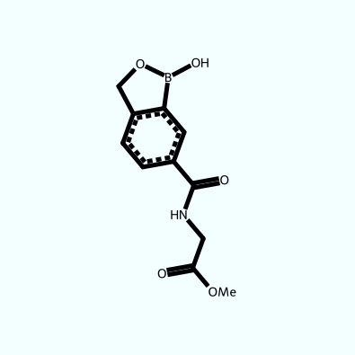 COC(=O)CNC(=O)c1ccc2c(c1)B(O)OC2